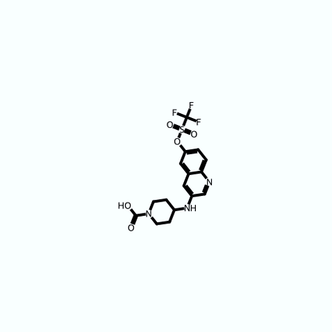 O=C(O)N1CCC(Nc2cnc3ccc(OS(=O)(=O)C(F)(F)F)cc3c2)CC1